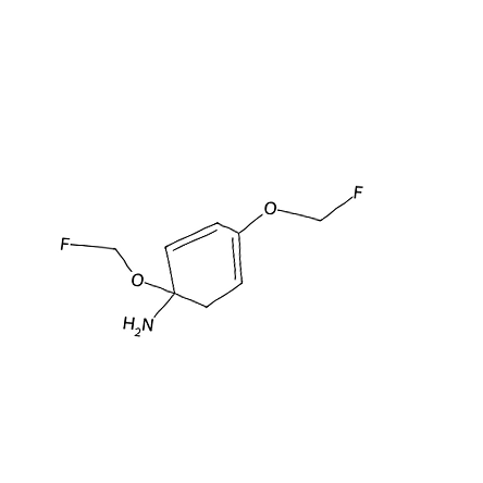 NC1(OCF)C=CC(OCF)=CC1